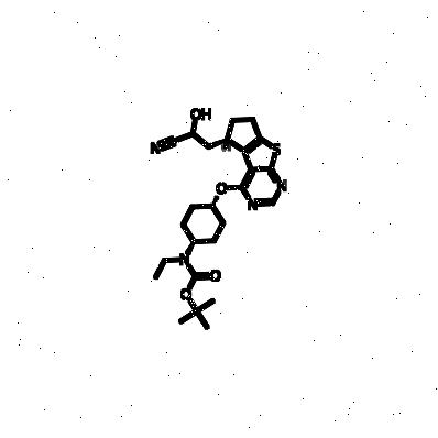 CCN(C(=O)OC(C)(C)C)[C@H]1CC[C@H](Oc2ncnc3sc4c(c23)[C@@H](CC(O)C#N)CC4)CC1